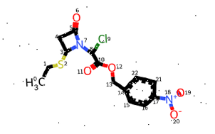 CCSC1CC(=O)N1C(Cl)C(=O)OCc1ccc([N+](=O)[O-])cc1